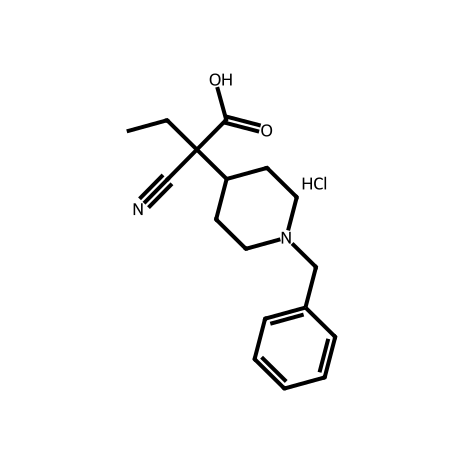 CCC(C#N)(C(=O)O)C1CCN(Cc2ccccc2)CC1.Cl